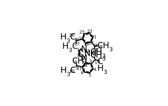 CC(C)c1cccc(C(C)C)c1N1C=CN(c2c(C(C)C)cccc2C(C)C)N1